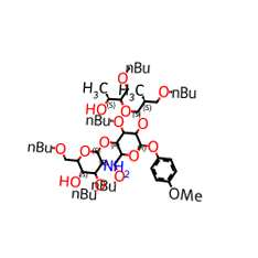 CCCCOCC1O[C@@H](O[C@@H]2C(COCCCC)O[C@H](Oc3ccc(OC)cc3)C(O[C@H](OC(COCCCC)[C@H](C)O)[C@@H](C)COCCCC)C2OCCCC)[C@@H](N)C(OCCCC)[C@@H]1O